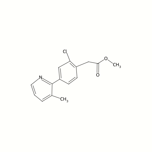 COC(=O)Cc1ccc(-c2ncccc2C)cc1Cl